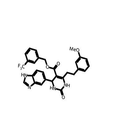 COc1cccc(CCC2=C(C(=O)OCc3cccc(C(F)(F)F)c3)C(c3ccc4[nH]cnc4c3)NC(=O)N2)c1